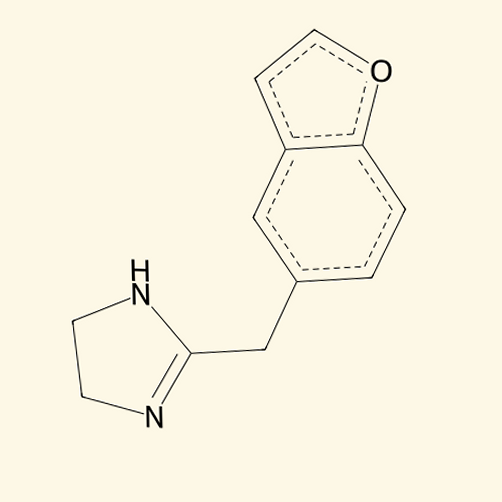 c1cc2cc(CC3=NCCN3)ccc2o1